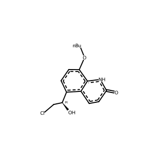 CCCCOc1ccc([C@@H](O)CCl)c2ccc(=O)[nH]c12